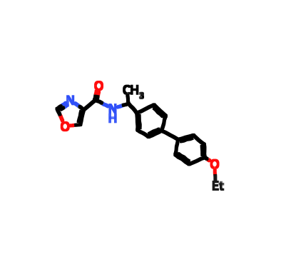 CCOc1ccc(-c2ccc(C(C)NC(=O)c3cocn3)cc2)cc1